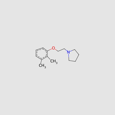 Cc1cccc(OCCN2CCCC2)c1C